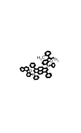 C=Cc1oc2c(N(c3ccccc3)c3cc(-c4ccccc4)c4ccc5c(N(c6ccccc6)c6cccc7c6oc6ccc8ccccc8c67)cc(-c6ccccc6)c6ccc3c4c65)cccc2c1-c1ccccc1C